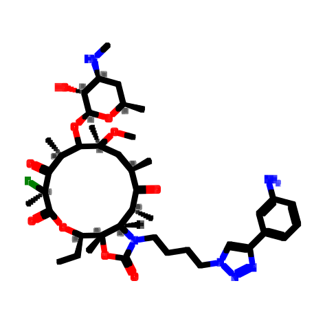 CC[C@H]1OC(=O)[C@@](C)(F)C(=O)[C@H](C)C(O[C@@H]2O[C@H](C)C[C@H](NC)[C@H]2O)[C@@](C)(OC)C[C@@H](C)C(=O)[C@H](C)[C@H]2N(CCCCn3cc(-c4cccc(N)c4)nn3)C(=O)O[C@]12C